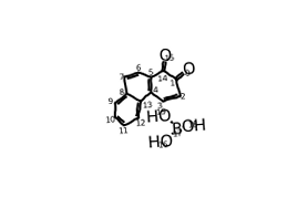 O=C1C=Cc2c(ccc3ccccc23)C1=O.OB(O)O